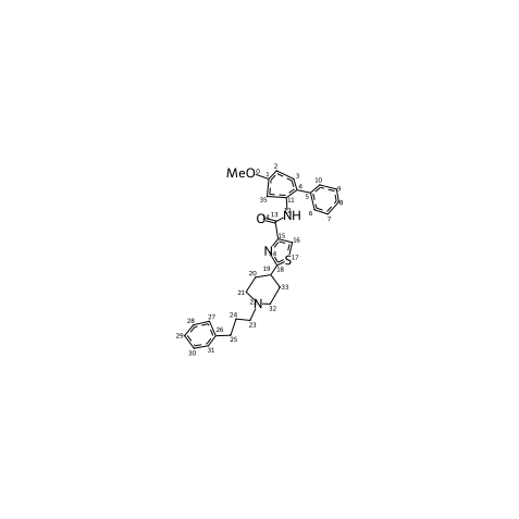 COc1ccc(-c2ccccc2)c(NC(=O)c2csc(C3CCN(CCCc4ccccc4)CC3)n2)c1